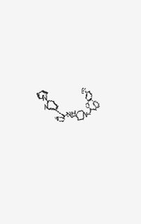 O=C(NCC1CCN(CC2COc3ccc(Br)cc3O2)CC1)c1ccc(-n2cccc2)nc1